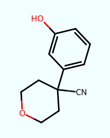 N#CC1(c2cccc(O)c2)CCOCC1